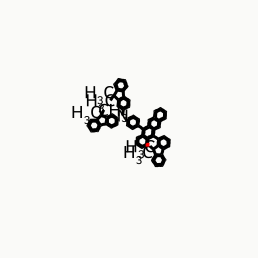 CC1(C)c2ccccc2-c2ccc(N(c3ccc(-c4c5ccccc5c(-c5cccc6c5C(C)(C)c5ccccc5-6)c5cc6ccccc6cc45)cc3)c3ccc4c(c3)C(C)(C)c3ccccc3-4)cc21